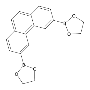 c1cc2ccc3ccc(B4OCCO4)cc3c2cc1B1OCCO1